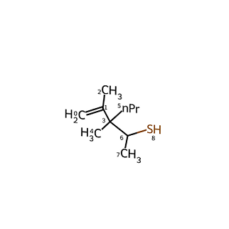 C=C(C)C(C)(CCC)C(C)S